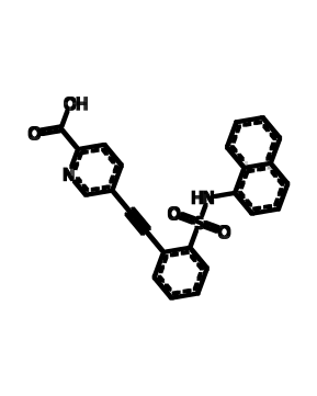 O=C(O)c1ccc(C#Cc2ccccc2S(=O)(=O)Nc2cccc3ccccc23)cn1